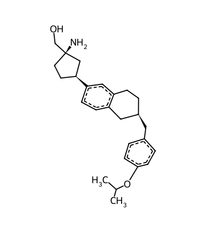 CC(C)Oc1ccc(C[C@@H]2CCc3cc([C@H]4CC[C@](N)(CO)C4)ccc3C2)cc1